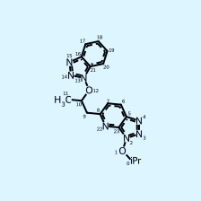 CC(C)On1nnc2ccc(CC(C)On3nnc4ccccc43)nc21